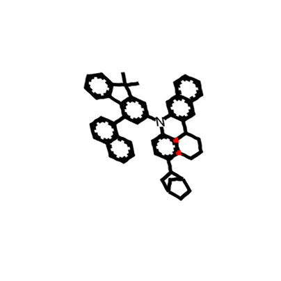 CC1(C)c2ccccc2-c2c(-c3cccc4ccccc34)cc(N(c3ccc(C4CC5CCC4C5)cc3)c3cc4ccccc4cc3C3CCCCC3)cc21